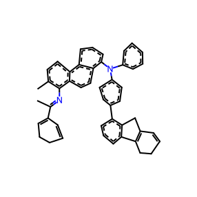 C/C(=N\c1c(C)ccc2c1ccc1c(N(c3ccccc3)c3ccc(-c4cccc5c4CC4=C5CCC=C4)cc3)cccc12)C1=CCCC=C1